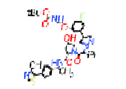 Cc1ncsc1-c1ccc([C@H](C)NC(=O)[C@@H]2C[C@@H](O)CN2C(=O)C(C(C)C)n2cc(-c3cc(F)cc(OCCNC(=O)OC(C)(C)C)c3)cn2)cc1